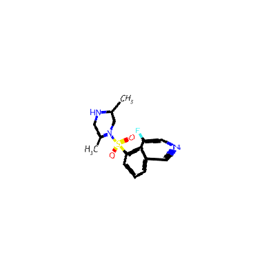 CC1CN(S(=O)(=O)c2cccc3cncc(F)c23)C(C)CN1